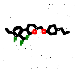 CCCC1CCC(OCC2CCC(c3ccc(CC)c(F)c3C(F)F)CO2)CC1